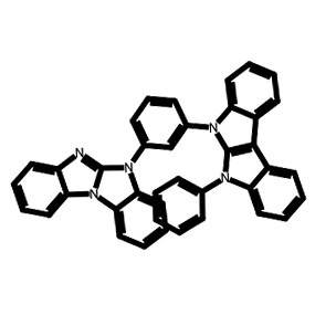 c1ccc(-n2c3ccccc3c3c4ccccc4n(-c4cccc(-n5c6ccccc6n6c7ccccc7nc56)c4)c32)cc1